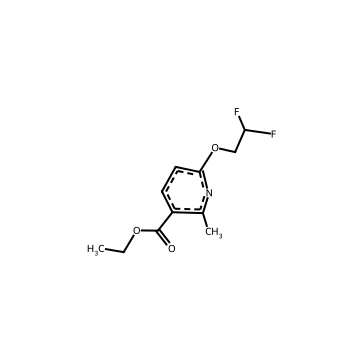 CCOC(=O)c1ccc(OCC(F)F)nc1C